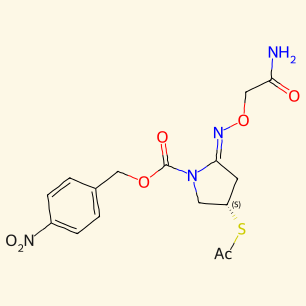 CC(=O)S[C@H]1CC(=NOCC(N)=O)N(C(=O)OCc2ccc([N+](=O)[O-])cc2)C1